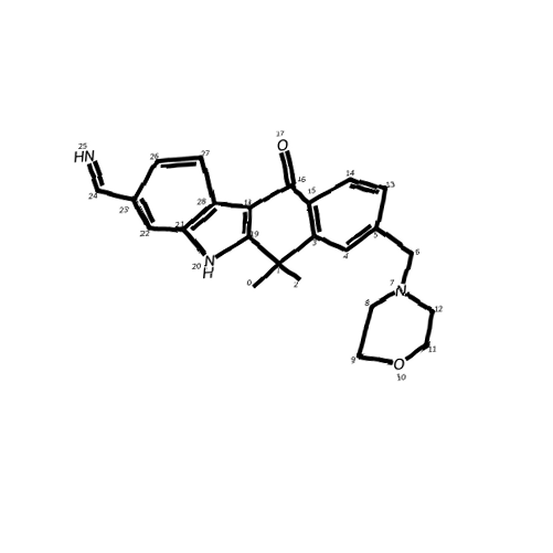 CC1(C)c2cc(CN3CCOCC3)ccc2C(=O)c2c1[nH]c1cc(C=N)ccc21